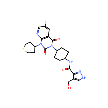 O=C(NC1CCC(n2c(=O)c3cc(F)cnc3n(C3CCSCC3)c2=O)CC1)c1n[nH]cc1CO